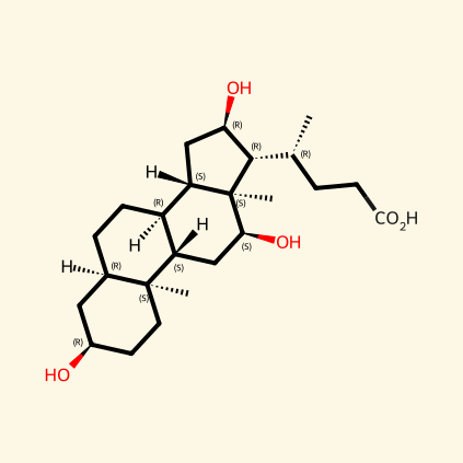 C[C@H](CCC(=O)O)[C@H]1[C@H](O)C[C@H]2[C@@H]3CC[C@@H]4C[C@H](O)CC[C@]4(C)[C@H]3C[C@H](O)[C@]12C